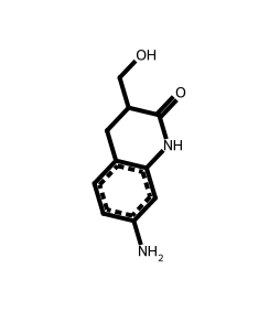 Nc1ccc2c(c1)NC(=O)C(CO)C2